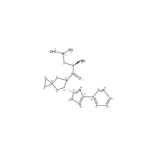 CCCC[C@H](CN(O)C=O)C(=O)N1CC2(CC2)C[C@H]1c1nc(-c2cccnc2)no1